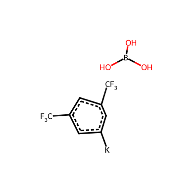 FC(F)(F)c1c[c]([K])cc(C(F)(F)F)c1.OB(O)O